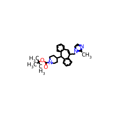 Cc1nccn1CC1=Cc2ccccc2C(C2CCN(C(=O)OC(C)(C)C)CC2)c2ccccc21